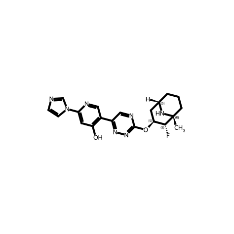 C[C@@]12CCC[C@@H](C[C@H](Oc3ncc(-c4cnc(-n5ccnc5)cc4O)nn3)[C@H]1F)N2